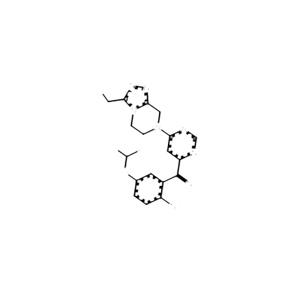 CCc1nnc2n1CCN(c1cc(C(=N)c3cc(OC(C)C)ccc3N)ncn1)C2